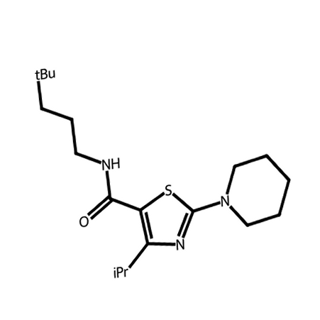 CC(C)c1nc(N2CCCCC2)sc1C(=O)NCCCC(C)(C)C